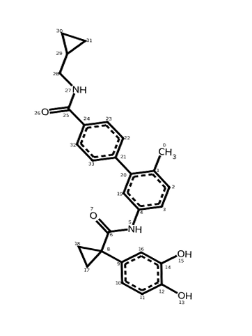 Cc1ccc(NC(=O)C2(c3ccc(O)c(O)c3)CC2)cc1-c1ccc(C(=O)NCC2CC2)cc1